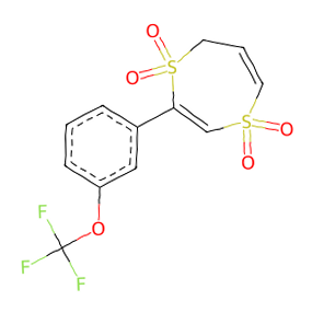 O=S1(=O)C=CCS(=O)(=O)C(c2cccc(OC(F)(F)F)c2)=C1